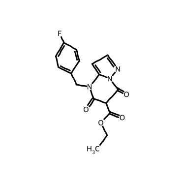 CCOC(=O)C1C(=O)N(Cc2ccc(F)cc2)c2ccnn2C1=O